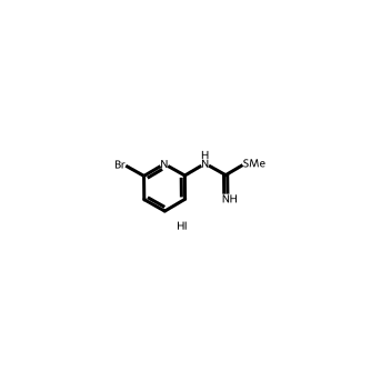 CSC(=N)Nc1cccc(Br)n1.I